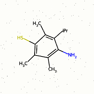 Cc1c(C)c(S)c(C)c(C(C)C)c1N